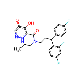 CCCN(CCC(c1ccc(F)cc1)c1ccc(F)cc1F)C(=O)c1[nH]ncc(=O)c1O